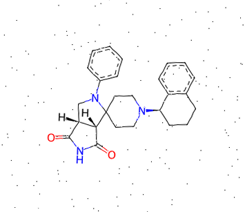 O=C1NC(=O)[C@@H]2CN(c3ccccc3)C3(CCN([C@@H]4CCCc5ccccc54)CC3)[C@H]12